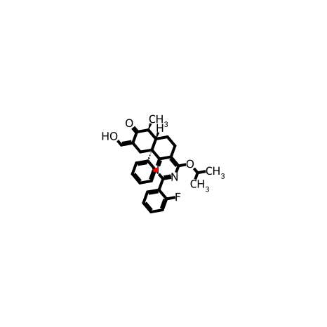 CC(C)Oc1nc(-c2ccccc2F)nc2c1CC[C@H]1[C@H](C)C(=O)C(=CO)C[C@]21c1ccccc1